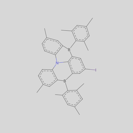 Cc1cc(C)c(B2c3cc(C)ccc3N3c4ccc(C)cc4B(c4c(C)cc(C)cc4C)c4cc(I)cc2c43)c(C)c1